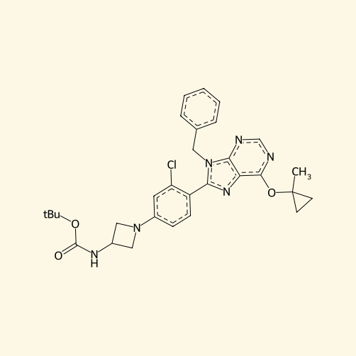 CC(C)(C)OC(=O)NC1CN(c2ccc(-c3nc4c(OC5(C)CC5)ncnc4n3Cc3ccccc3)c(Cl)c2)C1